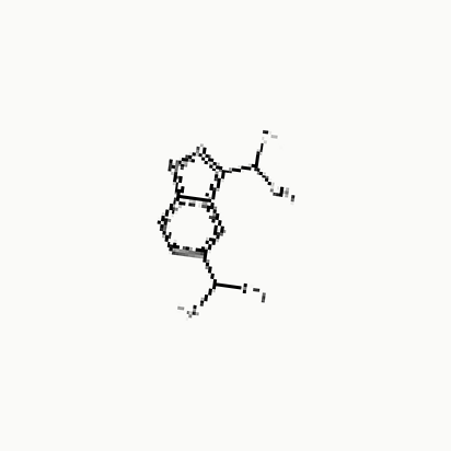 CC(C)c1ccc2noc(C(C)C)c2c1